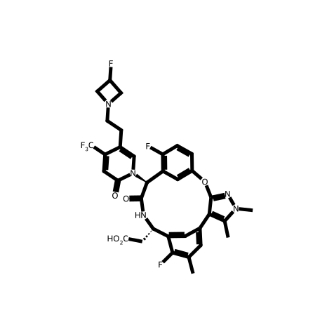 Cc1cc2cc(c1F)[C@H](CC(=O)O)NC(=O)[C@@H](n1cc(CCN3CC(F)C3)c(C(F)(F)F)cc1=O)c1cc(ccc1F)Oc1nn(C)c(C)c1-2